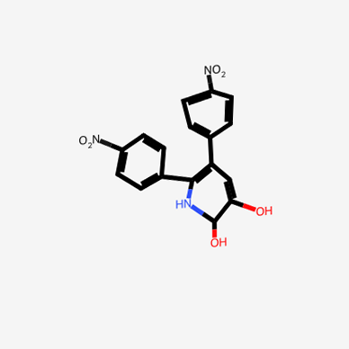 O=[N+]([O-])c1ccc(C2=C(c3ccc([N+](=O)[O-])cc3)NC(O)C(O)=C2)cc1